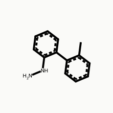 Cc1ccccc1-c1ccccc1NN